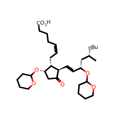 CCCC[C@H](C)C[C@@H](/C=C/[C@H]1C(=O)C[C@H](OC2CCCCO2)[C@@H]1C/C=C\CCCC(=O)O)OC1CCCCO1